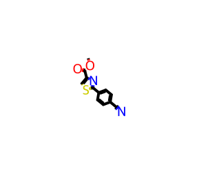 COC(=O)c1csc(-c2ccc(C#N)cc2)n1